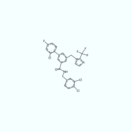 O=C(NCc1ccc(Cl)c(Cl)c1)c1cc(Cn2ccnc2C(F)(F)F)cc(-c2ccc(F)cc2Cl)c1